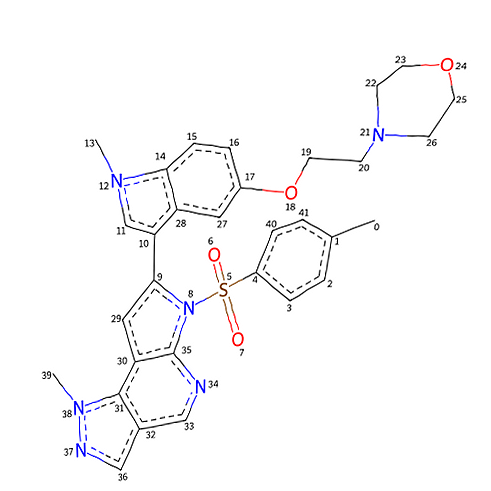 Cc1ccc(S(=O)(=O)n2c(-c3cn(C)c4ccc(OCCN5CCOCC5)cc34)cc3c4c(cnc32)cnn4C)cc1